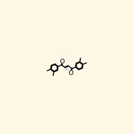 Cc1ccc(C(=O)/C=C/C(=O)c2ccc(C)c(C)c2)cc1C